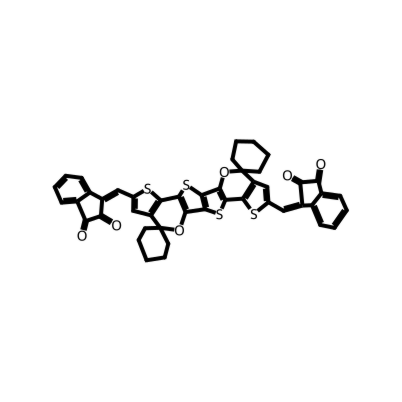 O=C1C(=O)c2ccccc2/C1=C/c1cc2c(s1)-c1sc3c4c(sc3c1OC21CCCCC1)-c1sc(/C=C2\C(=O)C(=O)c3ccccc32)cc1C1(CCCCC1)O4